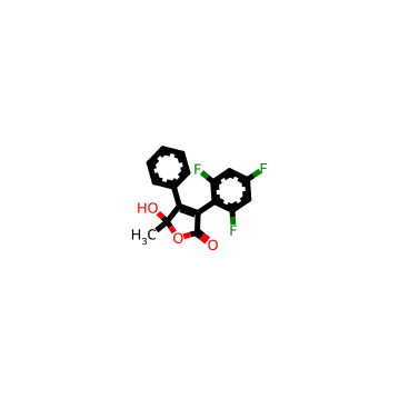 CC1(O)OC(=O)C(c2c(F)cc(F)cc2F)=C1c1ccccc1